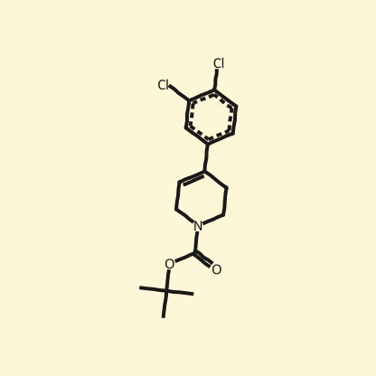 CC(C)(C)OC(=O)N1CC=C(c2ccc(Cl)c(Cl)c2)CC1